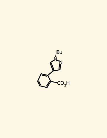 CC[C@H](C)n1cc(-c2ccccc2C(=O)O)cn1